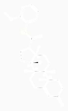 COc1ccccc1NC(=O)C1CC[C@H]2[C@@H]3CCC4=CC(=O)CC[C@]4(C)[C@@H]3CC[C@]12C